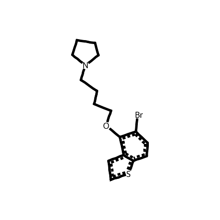 Brc1ccc2sccc2c1OCCCCN1CCCC1